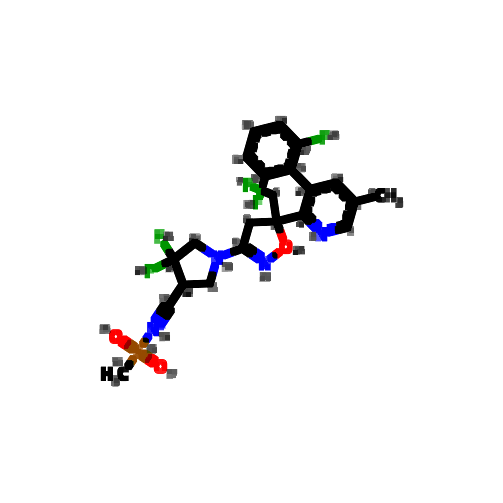 Cc1cnc(C2(CF)CC(N3CC(C#[N+]S(C)(=O)=O)C(F)(F)C3)=NO2)c(-c2c(F)cccc2F)c1